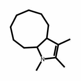 CC1=C(C)N(C)C2CCCCCCCC12